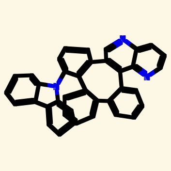 c1ccc2c(c1)-c1ccccc1-c1c(cnc3cccnc13)-c1cccc(-n3c4ccccc4c4ccccc43)c1-2